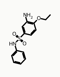 CCOc1ccc(S(=O)(=O)Nc2ccccc2)cc1N